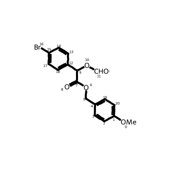 COc1ccc(COC(=O)C(O[C]=O)c2ccc(Br)cc2)cc1